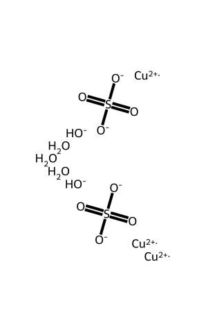 O.O.O.O=S(=O)([O-])[O-].O=S(=O)([O-])[O-].[Cu+2].[Cu+2].[Cu+2].[OH-].[OH-]